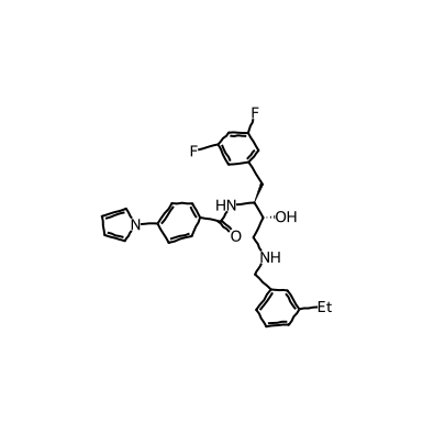 CCc1cccc(CNC[C@@H](O)[C@H](Cc2cc(F)cc(F)c2)NC(=O)c2ccc(-n3cccc3)cc2)c1